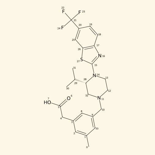 Cc1cc(CC(=O)O)cc(CN2CCN(c3nc4ccc(C(F)(F)F)cc4s3)[C@@H](C(C)C)C2)c1